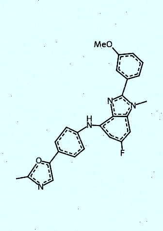 COc1cccc(-c2nc3c(Nc4ccc(-c5cnc(C)o5)cc4)cc(F)cc3n2C)c1